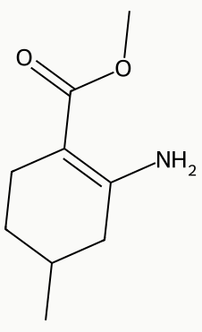 COC(=O)C1=C(N)CC(C)CC1